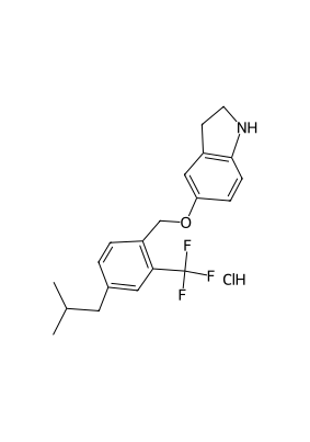 CC(C)Cc1ccc(COc2ccc3c(c2)CCN3)c(C(F)(F)F)c1.Cl